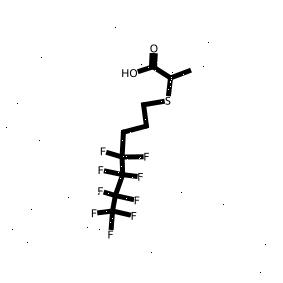 CC(SCCCC(F)(F)C(F)(F)C(F)(F)C(F)(F)F)C(=O)O